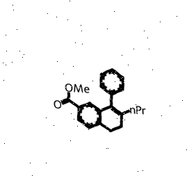 CCCC1=C(c2ccccc2)c2cc(C(=O)OC)ccc2CC1